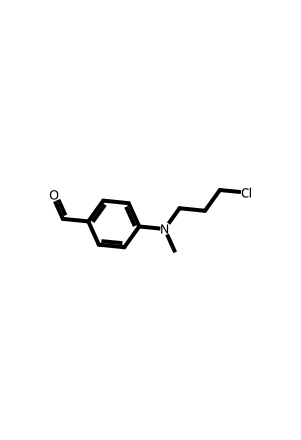 CN(CCCCl)c1ccc(C=O)cc1